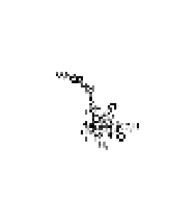 CC1CC(C(=O)NCCCCc2cn(Cn3ccc4cc([N+](=O)[O-])ccc43)nn2)C[C@@H](O[C@@H]2OC(CO)[C@H](O)C(O[C@@H](CC3CCCCC3)C(=O)O)C2OC(=O)c2ccccc2)C1O[C@@H]1OC(C)[C@@H](O)C(O)C1O